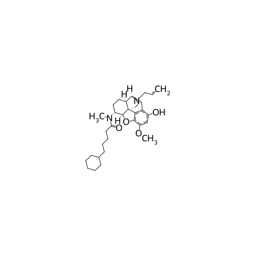 C=CCN1CC[C@]23c4c5c(O)cc(OC)c4O[C@H]2[C@H](N(C)C(=O)CCCCC2CCCCC2)CC[C@H]3[C@H]1C5